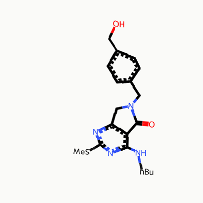 CCCCNc1nc(SC)nc2c1C(=O)N(Cc1ccc(CO)cc1)C2